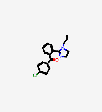 CCCN1CCN=C1c1ccccc1C(=O)c1ccc(Cl)cc1